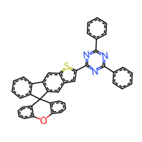 c1ccc(-c2nc(-c3ccccc3)nc(-c3cc4cc5c(cc4s3)-c3ccccc3C53c4ccccc4Oc4ccccc43)n2)cc1